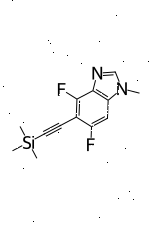 Cn1cnc2c(F)c(C#C[Si](C)(C)C)c(F)cc21